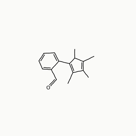 CC1=C(C)C(C)C(c2ccccc2C=O)=C1C